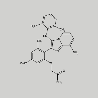 COc1cc(C)c(-c2nc3c(N)cccn3c2Nc2c(C)cccc2C)c(OCC(N)=O)c1